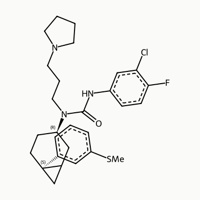 CSc1cccc([C@]23CC[C@@H](N(CCCN4CCCC4)C(=O)Nc4ccc(F)c(Cl)c4)CC2C3)c1